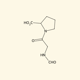 O=CNCC(=O)N1CCCC1C(=O)O